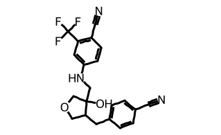 N#Cc1ccc(CC2COCC2(O)CNc2ccc(C#N)c(C(F)(F)F)c2)cc1